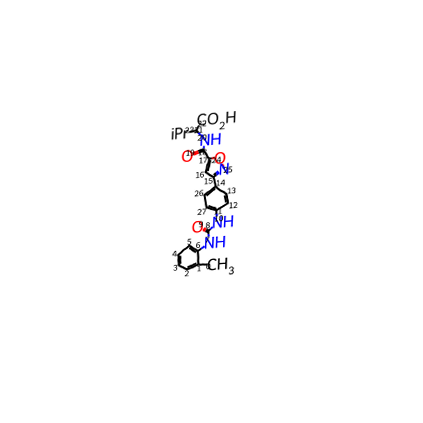 Cc1ccccc1NC(=O)Nc1ccc(-c2cc(C(=O)NC(C(=O)O)C(C)C)on2)cc1